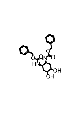 O=C(NC1CC(O)C(O)CC1NC(=O)OCc1ccccc1)OCc1ccccc1